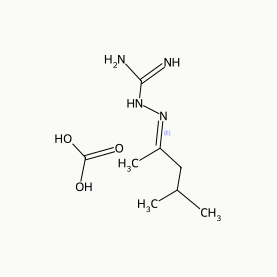 C/C(CC(C)C)=N\NC(=N)N.O=C(O)O